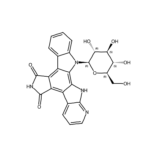 O=C1NC(=O)c2c1c1c3cccnc3[nH]c1c1c2c2ccccc2n1[C@@H]1O[C@H](CO)[C@@H](O)[C@H](O)[C@H]1O